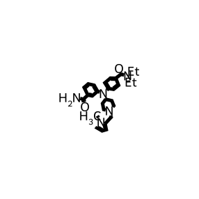 CCN(CC)C(=O)c1ccc(N(c2cccc(C(N)=O)c2)C2CCN(Cc3cccn3C)CC2)cc1